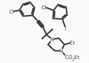 CCOC(=O)N1CCN(C(C)(C)C#Cc2cccc(Cl)c2)CC1CC.Clc1cccc(I)c1